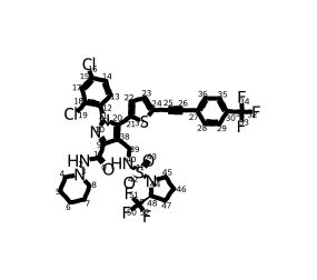 O=C(NN1CCCCC1)c1nn(-c2ccc(Cl)cc2Cl)c(-c2ccc(C#Cc3ccc(C(F)(F)F)cc3)s2)c1CNS(=O)(=O)N1CCC[C@H]1C(F)(F)F